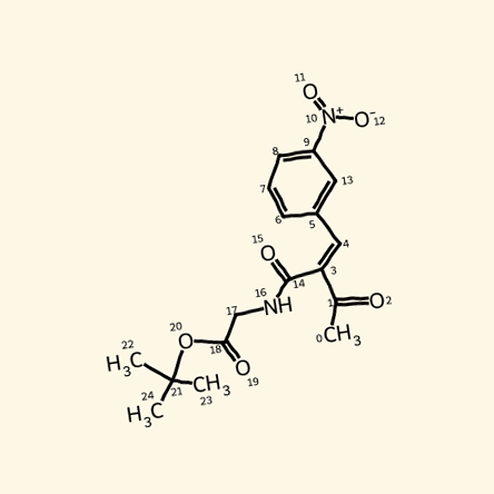 CC(=O)C(=Cc1cccc([N+](=O)[O-])c1)C(=O)NCC(=O)OC(C)(C)C